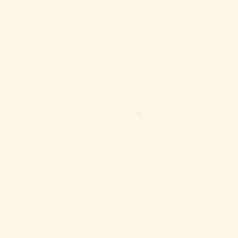 Cc1ccc2oc3ccc4c5cc(C)ccc5n(I)c4c3c2c1